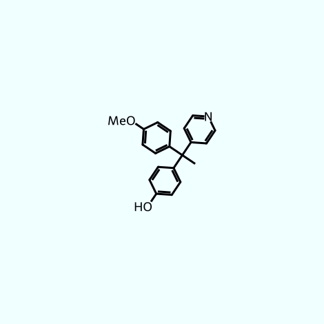 COc1ccc(C(C)(c2ccncc2)c2ccc(O)cc2)cc1